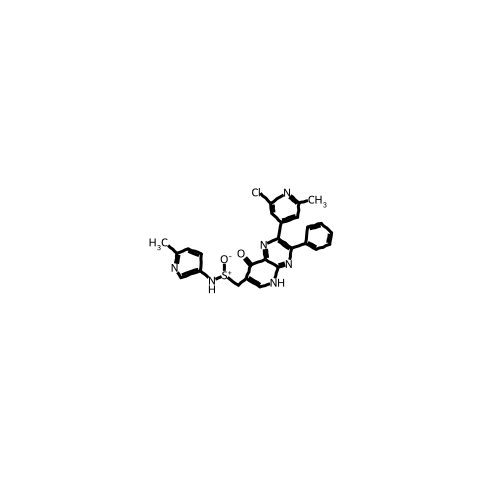 Cc1ccc(N[S+]([O-])Cc2c[nH]c3nc(-c4ccccc4)c(-c4cc(C)nc(Cl)c4)nc3c2=O)cn1